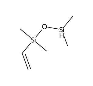 C=C[Si](C)(C)O[SiH](C)C